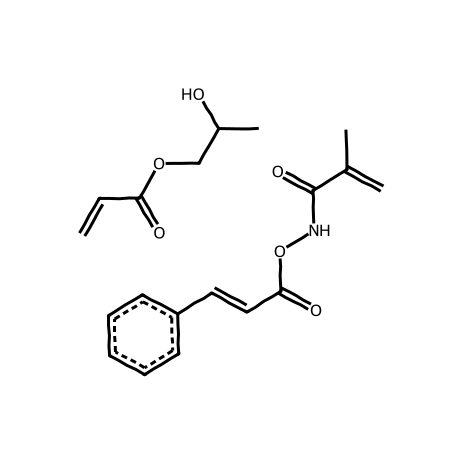 C=C(C)C(=O)NOC(=O)C=Cc1ccccc1.C=CC(=O)OCC(C)O